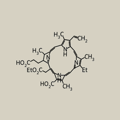 C=Cc1c(C)c2cc3nc(c(CC(=O)OCC)c4[nH]c(cc5nc(cc1[nH]2)C(C)=C5CC)c(C)c4C(=O)O)C(CCC(=O)O)C3C